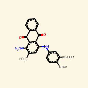 CNc1ccc(Nc2cc(S(=O)(=O)O)c(N)c3c2C(=O)c2ccccc2C3=O)cc1S(=O)(=O)O